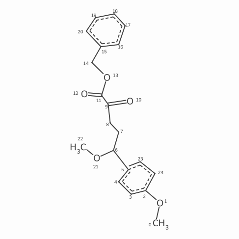 COc1ccc(C(CCC(=O)C(=O)OCc2ccccc2)OC)cc1